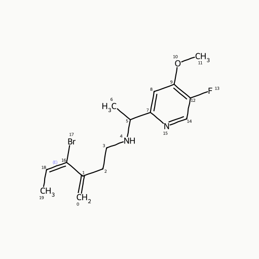 C=C(CCNC(C)c1cc(OC)c(F)cn1)/C(Br)=C\C